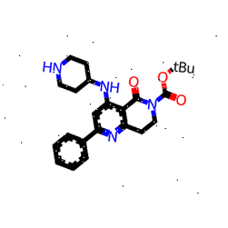 CC(C)(C)OC(=O)N1CCc2nc(-c3ccccc3)cc(NC3CCNCC3)c2C1=O